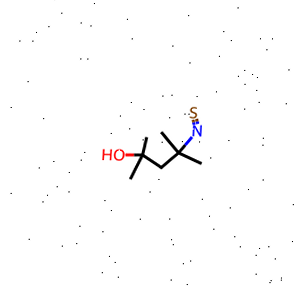 CC(C)(O)CC(C)(C)N=S